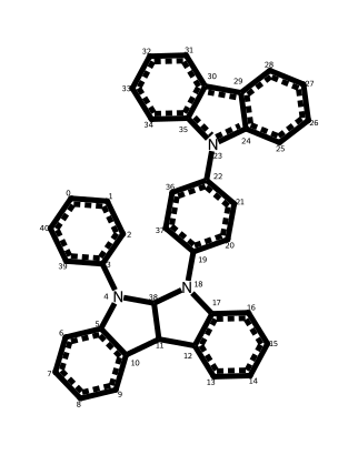 c1ccc(N2c3ccccc3C3c4ccccc4N(c4ccc(-n5c6ccccc6c6ccccc65)cc4)C32)cc1